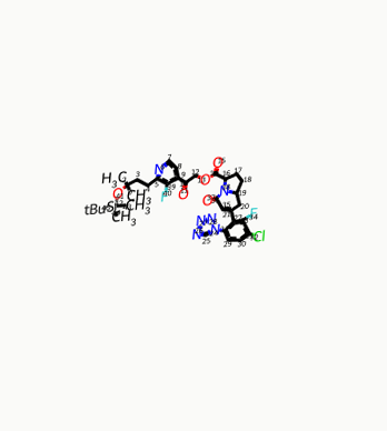 CC(C)(CCc1nccc(C(=O)COC(=O)C2CCC3CC(c4c(-n5cnnn5)ccc(Cl)c4F)=CC(=O)N32)c1F)O[Si](C)(C)C(C)(C)C